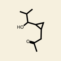 CC(=O)CC1CC1C(O)C(C)C